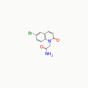 NC(=O)Cn1c(=O)ccc2cc(Br)ccc21